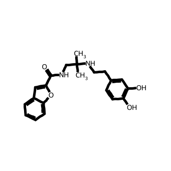 CC(C)(CNC(=O)c1cc2ccccc2o1)NCCc1ccc(O)c(O)c1